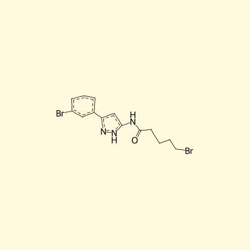 O=C(CCCCBr)Nc1cc(-c2cccc(Br)c2)n[nH]1